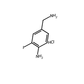 Cl.NCc1ccc(N)c(I)c1